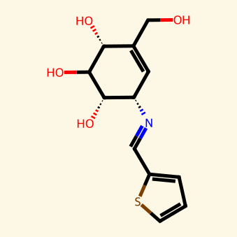 OCC1=C[C@H](/N=C/c2cccs2)[C@H](O)C(O)[C@@H]1O